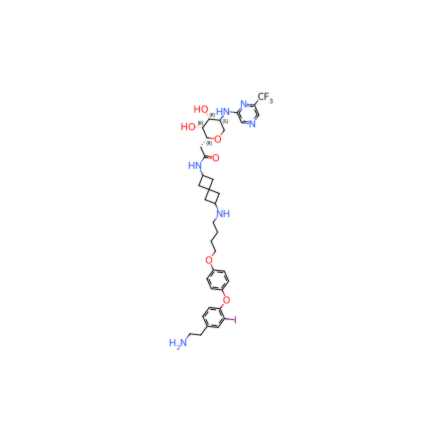 NCCc1ccc(Oc2ccc(OCCCCNC3CC4(C3)CC(NC(=O)C[C@H]3OC[C@H](Nc5cncc(C(F)(F)F)n5)[C@@H](O)[C@H]3O)C4)cc2)c(I)c1